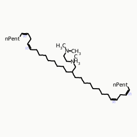 CCCCC/C=C\C/C=C\CCCCCCCCC(CCCCCCCC/C=C\C/C=C\CCCCC)CN(C)CCN(C)C